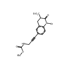 CCOC(=O)C1Cc2cc(C#CCNC(=O)OC(C)(C)C)ccc2N(CC)C1=O